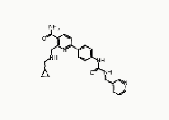 NC(=O)c1ccc(-c2ccc(NC(=O)NCc3cccnc3)cc2)nc1CNCC1CC1